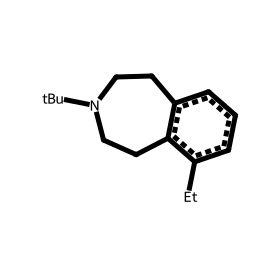 CCc1cccc2c1CCN(C(C)(C)C)CC2